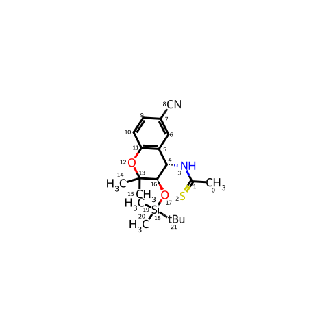 CC(=S)N[C@H]1c2cc(C#N)ccc2OC(C)(C)[C@@H]1O[Si](C)(C)C(C)(C)C